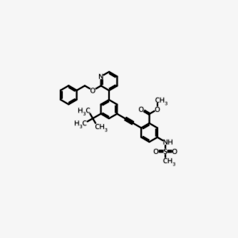 COC(=O)c1cc(NS(C)(=O)=O)ccc1C#Cc1cc(-c2cccnc2OCc2ccccc2)cc(C(C)(C)C)c1